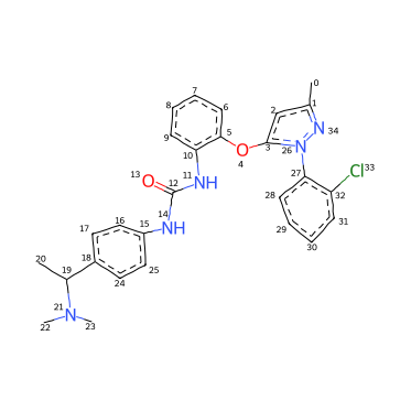 Cc1cc(Oc2ccccc2NC(=O)Nc2ccc(C(C)N(C)C)cc2)n(-c2ccccc2Cl)n1